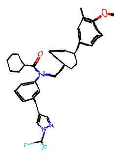 COc1ccc(C2CCC(CN(C(=O)C3CCCCC3)c3cccc(-c4cnn(C(F)F)c4)c3)CC2)cc1C